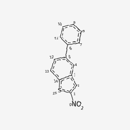 O=[N+]([O-])c1cc2cc(-c3ccccc3)ccc2s1